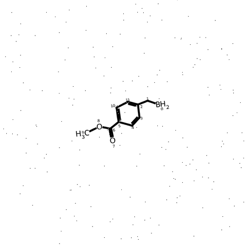 BCc1ccc(C(=O)OC)cc1